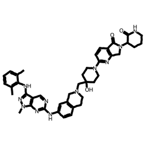 Cc1cccc(C)c1Nc1nn(C)c2nc(Nc3ccc4c(c3)CN(CC3(O)CCN(c5ccc6c(n5)CN(C5CCCNC5=O)C6=O)CC3)CC4)ncc12